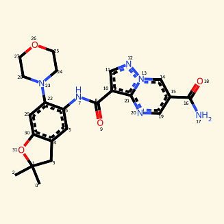 CC1(C)Cc2cc(NC(=O)c3cnn4cc(C(N)=O)cnc34)c(N3CCOCC3)cc2O1